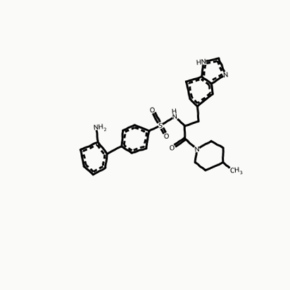 CC1CCN(C(=O)C(Cc2ccc3[nH]cnc3c2)NS(=O)(=O)c2ccc(-c3ccccc3N)cc2)CC1